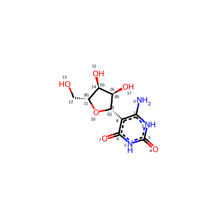 Nc1[nH]c(=O)[nH]c(=O)c1[C@@H]1O[C@H](CO)[C@@H](O)[C@H]1O